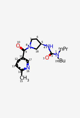 CCCN(C(=O)N[C@@H]1CCN(C(=O)c2ccc(C)nc2)C1)C(C)CC